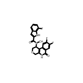 CN(C(=O)c1cc2cccc(F)c2[nH]1)C1COCc2[nH]c(=O)c3cc(F)c(F)cc3c21